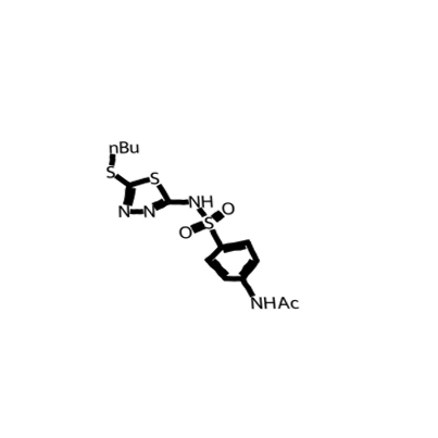 CCCCSc1nnc(NS(=O)(=O)c2ccc(NC(C)=O)cc2)s1